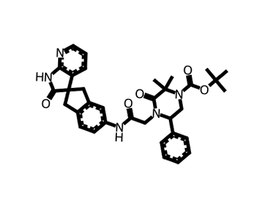 CC(C)(C)OC(=O)N1CC(c2ccccc2)N(CC(=O)Nc2ccc3c(c2)CC2(C3)C(=O)Nc3ncccc32)C(=O)C1(C)C